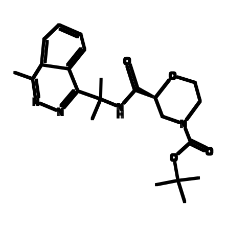 Cc1nnc(C(C)(C)NC(=O)[C@@H]2CN(C(=O)OC(C)(C)C)CCO2)c2ccccc12